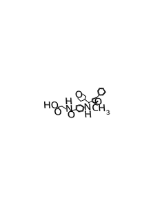 Cc1oc(-c2ccccc2)cc1C(Nc1ccc(C(=O)NCCC(=O)O)cc1)C1CCOCC1